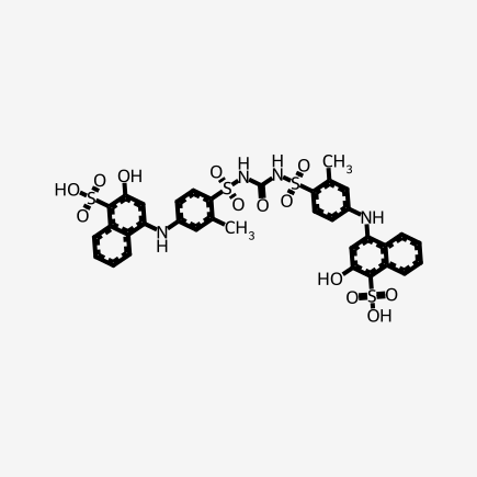 Cc1cc(Nc2cc(O)c(S(=O)(=O)O)c3ccccc23)ccc1S(=O)(=O)NC(=O)NS(=O)(=O)c1ccc(Nc2cc(O)c(S(=O)(=O)O)c3ccccc23)cc1C